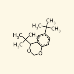 CC(C)(C)c1ccc2c(c1)C(C(C)(C)C)OCO2